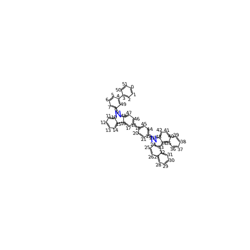 c1ccc(-c2cccc(-n3c4ccccc4c4cc(-c5ccc(-n6c7ccc8ccccc8c7c7c8ccccc8ccc76)cc5)ccc43)c2)cc1